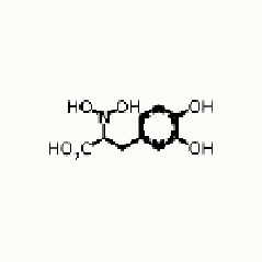 O=C(O)[C@H](Cc1ccc(O)c(O)c1)N(O)O